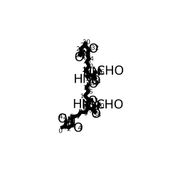 CC1CC(=O)N(CCCCC(NC(=O)CCCC(=O)NC(CCCCN2C(=O)CC(C)C2=O)C(=O)NC=O)C(=O)NC=O)C1=O